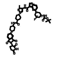 Cc1nn(C2CCC(C(=O)NC3CCN(c4ccc5c(c4)C(=O)N(C4CCC(=O)NC4=O)C5=O)CC3)CC2)cc1NC(=O)c1cnn2ccc(N3C[C@H](F)C[C@@H](NC(=O)OC(C)(C)C)C3)nc12